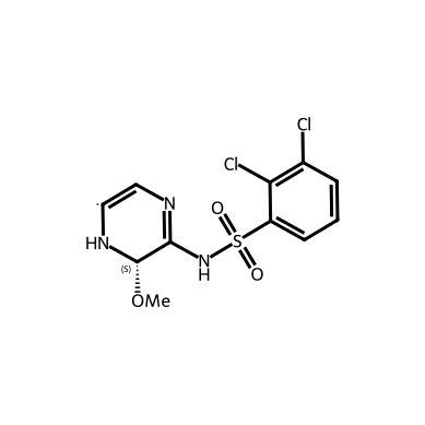 CO[C@@H]1N[C]=CN=C1NS(=O)(=O)c1cccc(Cl)c1Cl